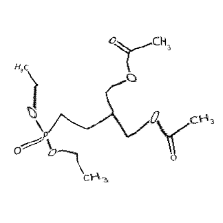 CCOP(=O)(CCC(COC(C)=O)COC(C)=O)OCC